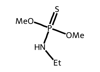 CCNP(=S)(OC)OC